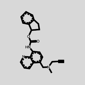 C#CCN(C)Cc1ccc(NC(=O)OC2CCc3ccccc32)c2ncccc12